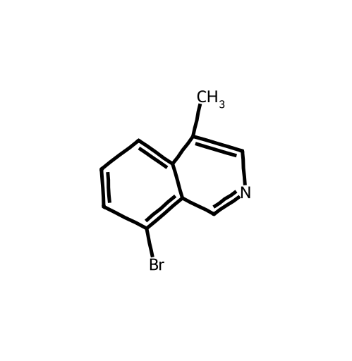 Cc1cncc2c(Br)cccc12